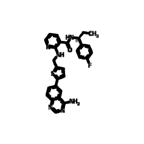 CC[C@H](NC(=O)c1cccnc1NCc1ccc(-c2ccc3ncnc(N)c3c2)s1)c1ccc(F)cc1